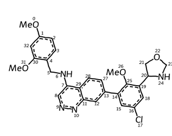 COc1ccc(CNc2cnnc3cc(-c4cc(Cl)cc(C5COCN5)c4OC)ccc23)c(OC)c1